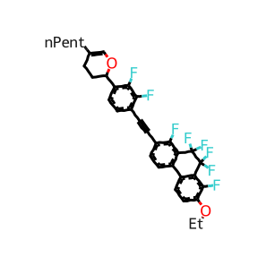 CCCCCC1=COC(c2ccc(C#Cc3ccc4c(c3F)C(F)(F)C(F)(F)c3c-4ccc(OCC)c3F)c(F)c2F)CC1